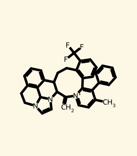 C=C1C2C(CCc3c(cccc3C(F)(F)F)-c3c(-c4ccccc4)c(C)cc[n+]31)c1cccc3c1C1N(C=CN21)CC3